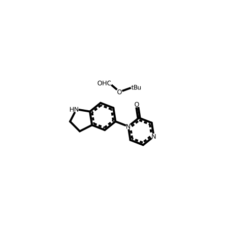 CC(C)(C)OC=O.O=c1cnccn1-c1ccc2c(c1)CCN2